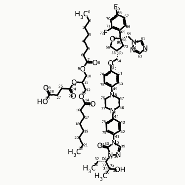 CCCCCCCC(=O)OCC(COC(=O)CCCCCCC)OC(=O)CCC(=O)O.CC[C@@H]([C@H](C)O)n1ncn(-c2ccc(N3CCN(c4ccc(OC[C@@H]5CO[C@@](Cn6cncn6)(c6ccc(F)cc6F)C5)cc4)CC3)cc2)c1=O